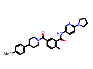 COc1ccc(C2CCN(C(=O)c3ccc(C)c(C(=O)Nc4ccc(N5CCCC5)nc4)c3)CC2)cc1